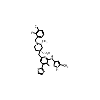 Cc1cc(Nc2nc(C[C@@]3(C(=O)O)CCN(Cc4cccc(Cl)c4F)[C@H](C)C3)cc(-c3nccs3)c2F)n[nH]1